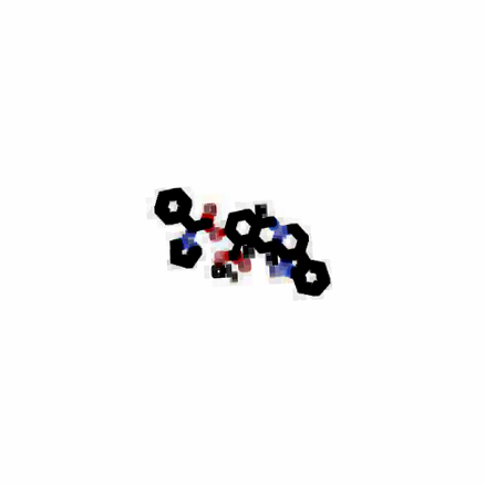 COC(=O)[C@@H]1[C@H]2C[C@H]3c4[nH]c5ccccc5c4CCN3C[C@@H]2CC[C@@H]1OC(=O)C(c1ccccc1)n1cccc1